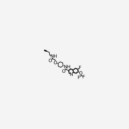 C#CCCNC(=O)CO[C@H]1CC[C@H](NC(=O)c2cnc3cc(OC(F)F)c(F)cc3c2)CC1